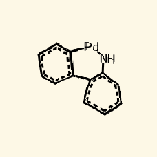 c1ccc2c(c1)[NH][Pd][c]1ccccc1-2